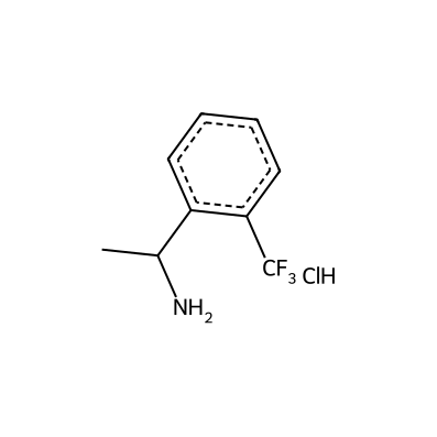 CC(N)c1ccccc1C(F)(F)F.Cl